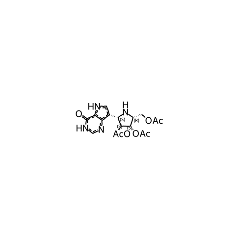 CC(=O)OC[C@H]1N[C@@H](c2c[nH]c3c(=O)[nH]cnc23)[C@H](OC(C)=O)[C@H]1OC(C)=O